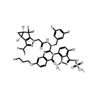 Cn1nc(NS(C)(=O)=O)c2c(Cl)ccc(-n3c([C@H](Cc4cc(F)cc(F)c4)NC(=O)Cn4nc(C(F)F)c5c4C(F)(F)[C@@H]4C[C@H]54)nc4cc(OCCCF)ccc4c3=O)c21